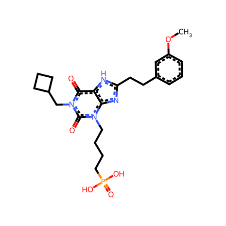 COc1cccc(CCc2nc3c([nH]2)c(=O)n(CC2CCC2)c(=O)n3CCCCP(=O)(O)O)c1